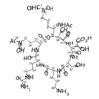 CC(=O)NC(CCCN(O)C=O)C1OC(=O)C(CCCN(O)C(C)=O)NC(O)C(CCCNC(N)=O)NC(=O)C(CCCN)NC(=O)C(CO)NC(=O)C(C(O)C(=O)O)NC(=O)C1C